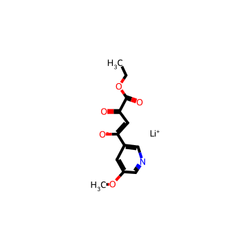 CCOC(=O)C(=O)C=C([O-])c1cncc(OC)c1.[Li+]